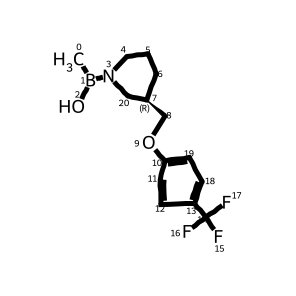 CB(O)N1CCC[C@@H](COc2ccc(C(F)(F)F)cc2)C1